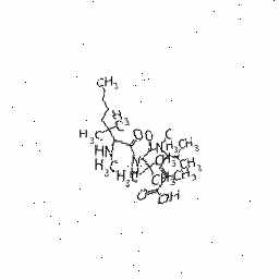 CCCCCC(C)(C)[C@H](NC)C(=O)N[C@H](C(=O)N(C)[C@H](C=C(C)C(=O)O)C(C)C)C(C)(C)C